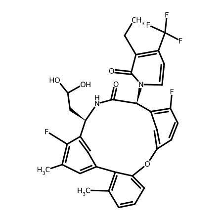 CCc1c(C(F)(F)F)ccn([C@@H]2C(=O)N[C@H](CC(O)O)c3cc(cc(C)c3F)-c3c(C)cccc3Oc3ccc(F)c2c3)c1=O